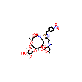 CC[C@H]1OC(=O)[C@H](C)[C@@H](O[C@H]2C[C@@](C)(OC)[C@@H](O)[C@H](C)O2)[C@H](C)[C@@H](O[C@@H]2O[C@H](C)C[C@H](N(C)CCc3csc(Cc4ccc([N+](=O)[O-])cc4)n3)[C@H]2O)[C@](C)(O)C[C@@H](C)CN(C)[C@H](C)[C@@H](O)[C@]1(C)O